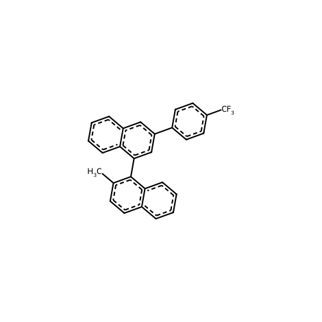 Cc1ccc2ccccc2c1-c1cc(-c2ccc(C(F)(F)F)cc2)cc2ccccc12